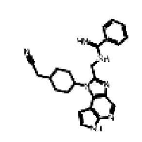 N#CCC1CCC(n2c(CNC(=N)c3ccccc3)nc3cnc4[nH]ccc4c32)CC1